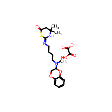 CN(CCCCN=C1NC(C)(C)CC(=O)S1)C1COc2ccccc2O1.O=C(O)C(=O)O